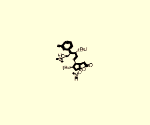 Cc1cccc([C@H](CO[SiH](C)C)[C@@H](C=C[C@H]2C3CC(=O)O[C@]3(O[SiH](C)C)C[C@H]2C(C)(C)C)C(C)(C)C)c1